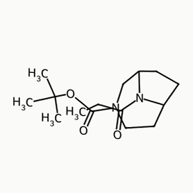 CCC(=O)N1C2CCC1CN(C(=O)OC(C)(C)C)CC2